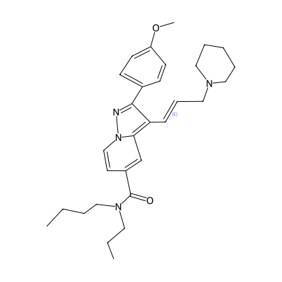 CCCCN(CCC)C(=O)c1ccn2nc(-c3ccc(OC)cc3)c(/C=C/CN3CCCCC3)c2c1